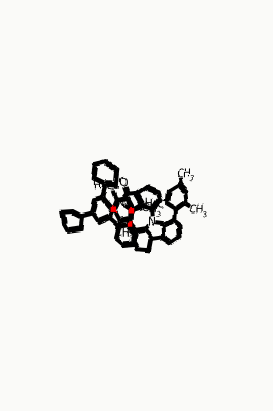 Cc1cc(C)c(-c2cccc3c4cccc(-c5c(C)cc(C)cc5C)c4n(-c4cccc5c4C(=O)N(c4c(-c6ccccc6)cc(-c6ccccc6)cc4-c4ccccc4)C5=O)c23)c(C)c1